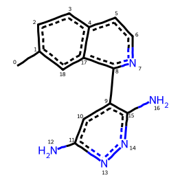 Cc1ccc2ccnc(-c3cc(N)nnc3N)c2c1